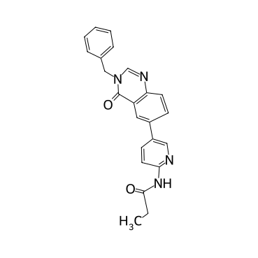 CCC(=O)Nc1ccc(-c2ccc3ncn(Cc4ccccc4)c(=O)c3c2)cn1